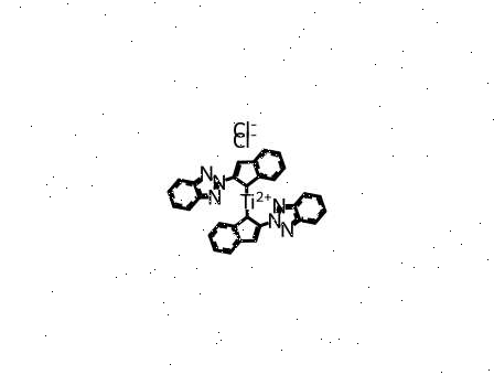 C1=C(n2nc3ccccc3n2)[CH]([Ti+2][CH]2C(n3nc4ccccc4n3)=Cc3ccccc32)c2ccccc21.[Cl-].[Cl-]